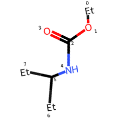 CCOC(=O)NC(CC)CC